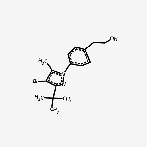 Cc1c(Br)c(C(C)(C)C)nn1-c1ccc(CCO)cc1